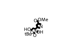 COC(=O)c1cncc(C(CCO)N(O)C(=O)OC(C)(C)C)c1